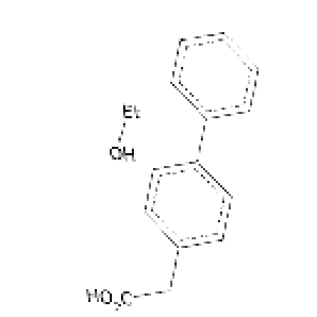 CCO.O=C(O)Cc1ccc(-c2ccccc2)cc1